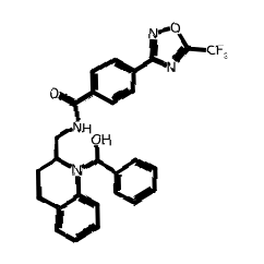 O=C(NCC1CCc2ccccc2N1C(O)c1ccccc1)c1ccc(-c2noc(C(F)(F)F)n2)cc1